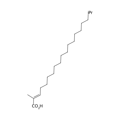 CC(=CCCCCCCCCCCCCCCC(C)C)C(=O)O